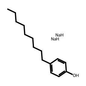 CCCCCCCCCc1ccc(O)cc1.[NaH].[NaH]